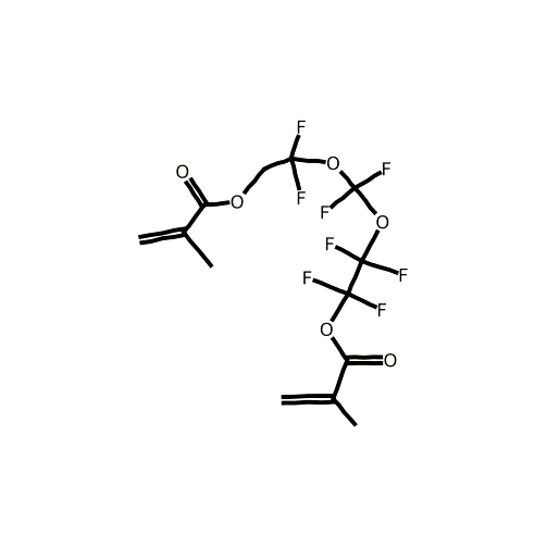 C=C(C)C(=O)OCC(F)(F)OC(F)(F)OC(F)(F)C(F)(F)OC(=O)C(=C)C